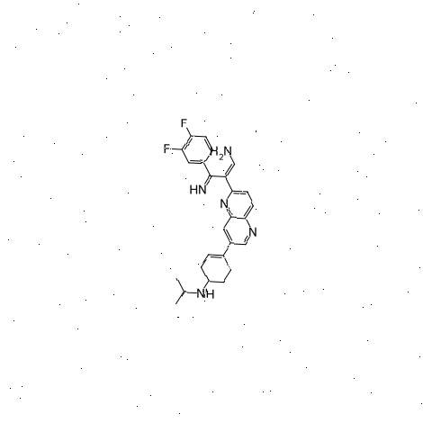 CC(C)NC1CC=C(c2cnc3ccc(/C(=C/N)C(=N)c4ccc(F)c(F)c4)nc3c2)CC1